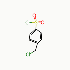 O=S(=O)(Cl)c1ccc(CCl)cc1